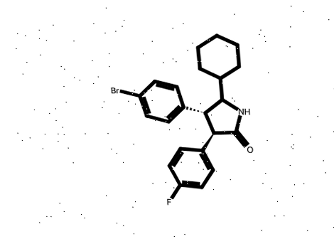 O=C1NC(C2CCCCC2)[C@@H](c2ccc(Br)cc2)[C@@H]1c1ccc(F)cc1